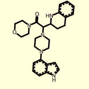 O=C(C(C1CCc2ccccc2N1)N1CCN(c2cccc3[nH]ccc23)CC1)N1CCOCC1